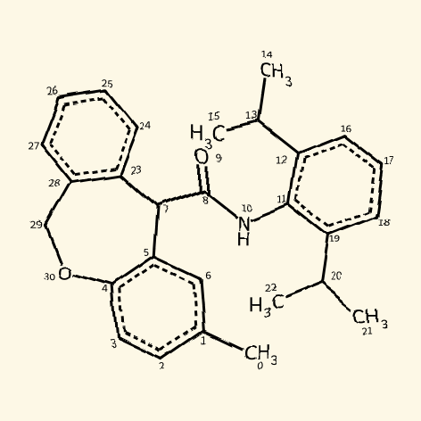 Cc1ccc2c(c1)C(C(=O)Nc1c(C(C)C)cccc1C(C)C)c1ccccc1CO2